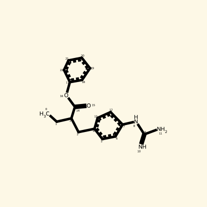 CCC(Cc1ccc(NC(=N)N)cc1)C(=O)Oc1ccccc1